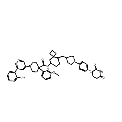 COc1cccc(C2(C(=O)NC3CCN(CC4CCN(c5ccc([C@H]6CCC(=O)NC6=O)cc5)CC4)C4(CCC4)C3)CCN(c3cnnc(-c4ccccc4O)c3)CC2)c1